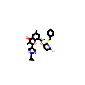 Cc1cc([C@@H](C)Oc2ccc(Cl)nc2SCc2ccccc2)c2oc(-c3cnc(C4CC4)nc3)c(C)c(=O)c2c1